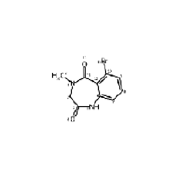 CN1CC(=O)Nc2cccc(Br)c2C1=O